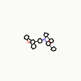 c1ccc(-c2ccc(N(c3ccc(-c4cc5c6ccccc6oc5c5ccccc45)cc3)c3ccccc3-c3ccccc3)cc2)cc1